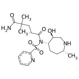 C[C@@H]1CC[C@H](N(C(=O)[CH]CC(C)(C)C(N)=O)S(=O)(=O)c2ccccn2)[C@@H](O)CN1